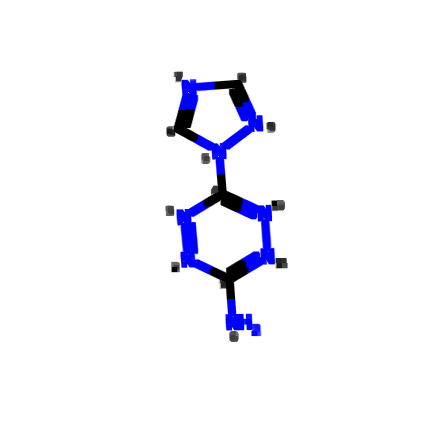 Nc1nnc(-n2cncn2)nn1